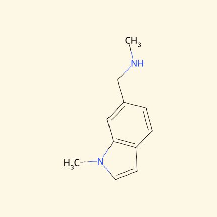 CNCc1ccc2ccn(C)c2c1